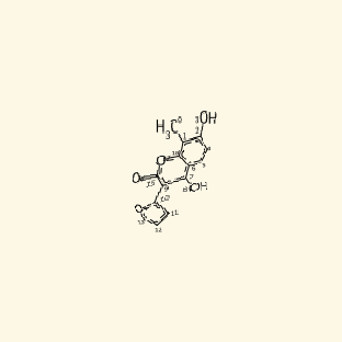 Cc1c(O)ccc2c(O)c(-c3ccco3)c(=O)oc12